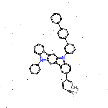 C#C/C=C\C(=C/C)c1ccc2c(c1)c1cc3c(cc1n2-c1cccc(-c2ccc(-c4ccccc4)cc2)c1)c1ccccc1n3-c1ccccc1